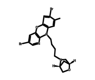 Cc1cc2c(cc1Br)Oc1cc(Br)cnc1N2CCCCN1C[C@H]2C[C@@H]1CO2